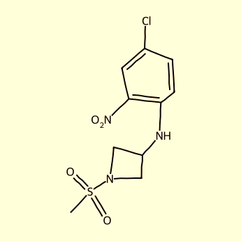 CS(=O)(=O)N1CC(Nc2ccc(Cl)cc2[N+](=O)[O-])C1